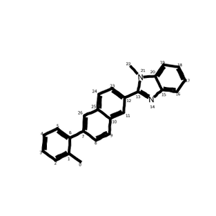 Cc1ccccc1-c1ccc2cc(-c3nc4ccccc4n3C)ccc2c1